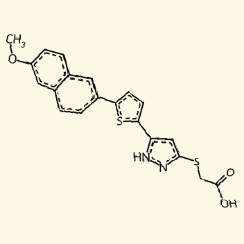 COc1ccc2cc(-c3ccc(-c4cc(SCC(=O)O)n[nH]4)s3)ccc2c1